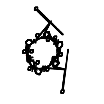 O=C1c2ccc3c4c5ccc(c24)C(=O)N1C1CCCC[C@H]1N1C(=O)c2ccc4c6c(ccc(c26)C1=O)C(=O)N(C4=O)[C@@H]1CCCC[C@H]1N1C(=O)c2ccc4c6c(ccc(c26)C1=O)C(=O)N(C4=O)[C@@H]1CCCC[C@H]1N(C3=O)C5=O